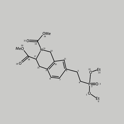 CCOP(=O)(CCc1ccc2c(c1)CN(C(=O)OC)C(C(=O)OC)C2)OCC